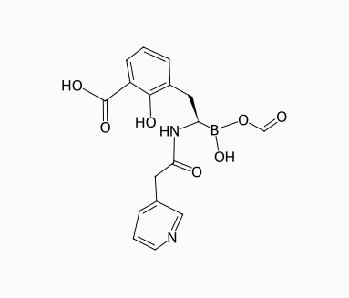 O=COB(O)[C@H](Cc1cccc(C(=O)O)c1O)NC(=O)Cc1cccnc1